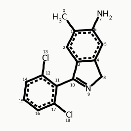 Cc1cc2c(cc1N)CN=C2c1c(Cl)cccc1Cl